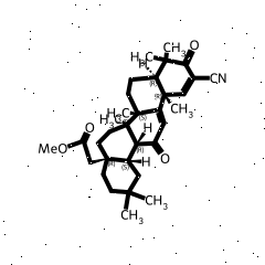 COC(=O)C[C@]12CCC(C)(C)C[C@H]1[C@H]1C(=O)C=C3[C@@]4(C)C=C(C#N)C(=O)C(C)(C)[C@@H]4CC[C@@]3(C)[C@]1(C)CC2